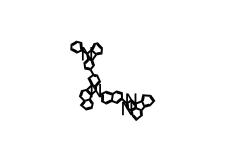 c1ccc(-n2c3ccccc3c3cc(-c4ccc5c(c4)c4ccc6ccccc6c4n5-c4ccc5cc(-c6nc7c8c(cccc8n6)-c6ccccc6-7)ccc5c4)ccc32)cc1